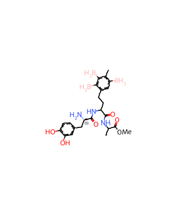 Bc1cc(CCC(NC(=O)[C@@H](N)Cc2ccc(O)c(O)c2)C(=O)NC(C)C(=O)OC)c(B)c(B)c1C